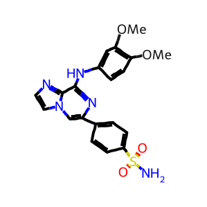 COc1ccc(Nc2nc(-c3ccc(S(N)(=O)=O)cc3)cn3ccnc23)cc1OC